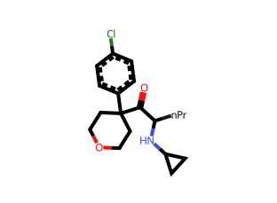 CCCC(NC1CC1)C(=O)C1(c2ccc(Cl)cc2)CCOCC1